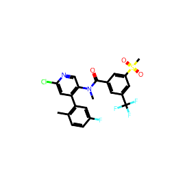 Cc1ccc(F)cc1-c1cc(Cl)ncc1N(C)C(=O)c1cc(C(F)(F)F)cc(S(C)(=O)=O)c1